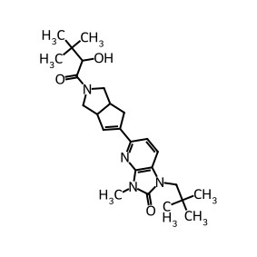 Cn1c(=O)n(CC(C)(C)C)c2ccc(C3=CC4CN(C(=O)C(O)C(C)(C)C)CC4C3)nc21